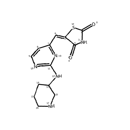 O=C1NC(=O)/C(=C\c2ccnc(NC3CCCNC3)n2)S1